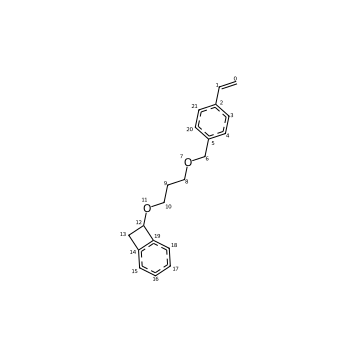 C=Cc1ccc(COCCCOC2Cc3ccccc32)cc1